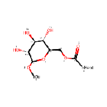 CCCCCCCC(=O)OC[C@H]1OC(OCCCC)[C@H](O)[C@@H](O)[C@@H]1O